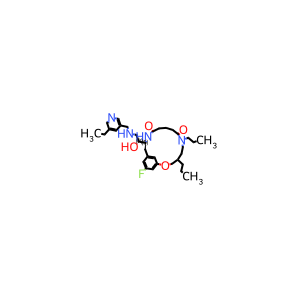 CCCC1CCN(CCC)C(=O)CCCC(=O)N[C@H]([C@H](O)CNCc2cncc(CC)c2)Cc2cc(F)cc(c2)OC1